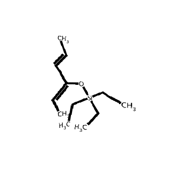 CC=CC(=CC)O[Si](CC)(CC)CC